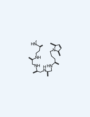 C=C(CCNC(=C)CNC(=C)CNC(=C)CNC(=C)CCCn1c(=C)ccc1=C)NC